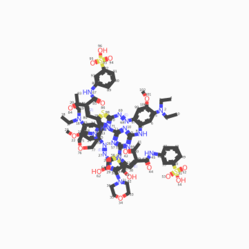 CCN(CC)c1cc(Nc2nc(Nc3cc(N(CC)CC)c(OC)cc3/N=N/c3nc(N4CCOCC4)c(/C=C(\C(C)=O)C(=O)Nc4cccc(S(=O)(=O)O)c4)s3)nc(N(CCO)CCO)n2)c(/N=N/c2nc(N3CCOCC3)c(/C=C(/C(C)=O)C(=O)Nc3cccc(S(=O)(=O)O)c3)s2)cc1OC